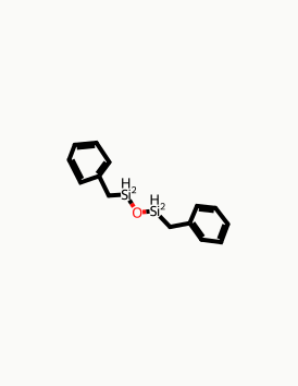 c1ccc(C[SiH2]O[SiH2]Cc2ccccc2)cc1